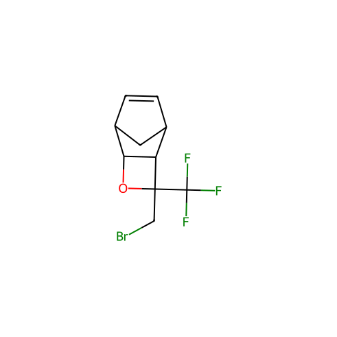 FC(F)(F)C1(CBr)OC2C3C=CC(C3)C21